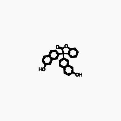 O=C1Oc2ccccc2C1(c1ccc2ccc(O)cc2c1)c1ccc2ccc(O)cc2c1